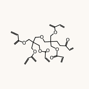 C=CC(=C)OCC(CCC(=O)C=C)(COCC(COC(=C)C=C)(COC(=C)C=C)COC(=O)C=C)COC(=O)C=C